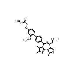 Cc1sc2c(c1C)C(c1ccc(-c3ccc(OCC(=O)OC(C)(C)C)cc3OC(F)(F)F)cc1)=NC(CC(=O)O)c1nnc(C)n1-2